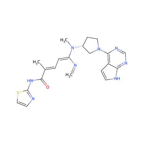 C=N/C(=C\C=C(/C)C(=O)Nc1nccs1)N(C)[C@@H]1CCN(c2ncnc3[nH]ccc23)C1